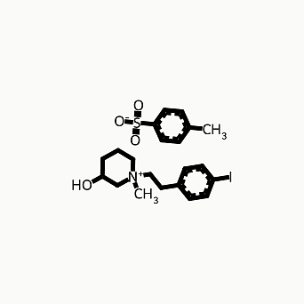 C[N+]1(CCc2ccc(I)cc2)CCCC(O)C1.Cc1ccc(S(=O)(=O)[O-])cc1